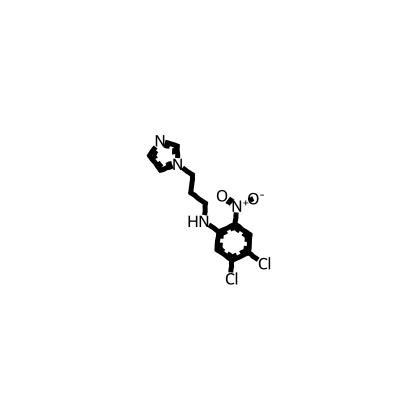 O=[N+]([O-])c1cc(Cl)c(Cl)cc1NCCCn1ccnc1